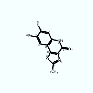 Cc1nc2c(=O)[nH]c3cc(F)c(F)cc3c2o1